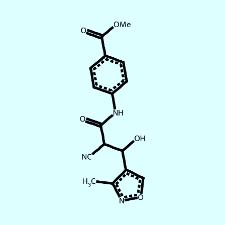 COC(=O)c1ccc(NC(=O)C(C#N)C(O)c2conc2C)cc1